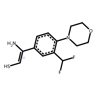 N/C(=C\S)c1ccc(N2CCOCC2)c(C(F)F)c1